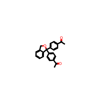 CC(=O)c1ccc(C2(c3ccc(C(C)=O)cc3)OCc3ccccc32)cc1